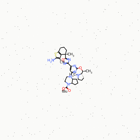 C[C@H](Oc1nc(-c2noc([C@@]3(C)CCCc4sc(N)c(C#N)c43)n2)cc(N2CCN(C(=O)OC(C)(C)C)C3CCCC32)n1)[C@@H]1CCCN1C